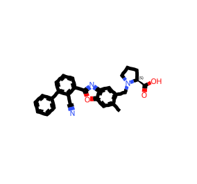 Cc1cc2oc(-c3cccc(-c4ccccc4)c3C#N)nc2cc1CN1CCC[C@H]1C(=O)O